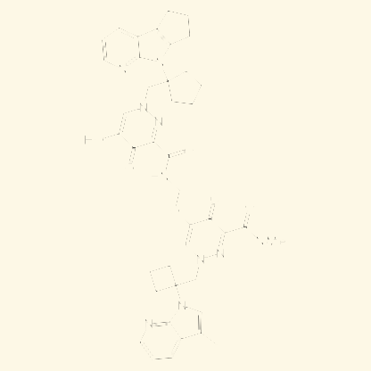 CNC(=O)c1nn(CC2(n3cc(C)c4cccnc43)CCC2)cc(OCNC(=O)c2nn(CC3(n4c5c(c6cccnc64)CCC5)CCCC3)cc(O)c2=O)c1=O